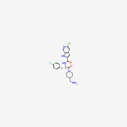 NCC1CCN(C(=O)[C@H](Cc2ccc(F)cc2)NC(=O)c2cc3cc(Cl)ncc3[nH]2)CC1